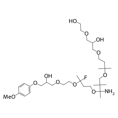 COc1ccc(OCC(O)COCCOC(C)(F)CCOC(C)(N)C(C)(C)COC(C)(C)CCOCC(O)COCCO)cc1